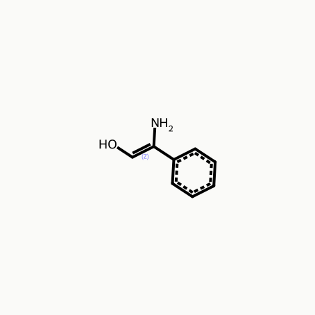 N/C(=C\O)c1ccccc1